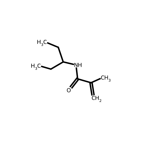 C=C(C)C(=O)NC(CC)CC